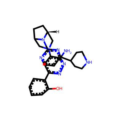 Nc1nnc(-c2ccccc2O)cc1N1CC2CC[C@H](C1)N2c1nccc(C2CCNCC2)n1